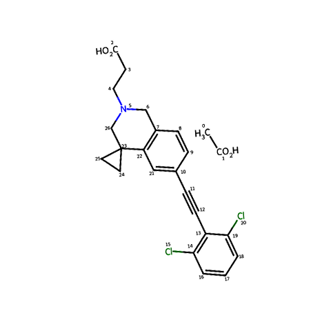 CC(=O)O.O=C(O)CCN1Cc2ccc(C#Cc3c(Cl)cccc3Cl)cc2C2(CC2)C1